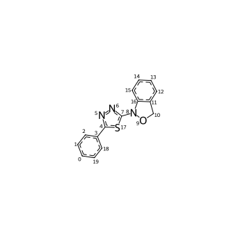 c1ccc(-c2nnc(N3OCc4ccccc43)s2)cc1